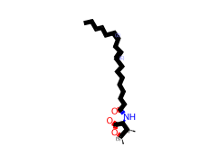 CCCCC/C=C\C/C=C/CCCCCCCC(=O)N[C@@H]1C(=O)O[C@@H](C)[C@H]1C